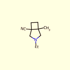 CCN1CC2(C)CCC2(C#N)C1